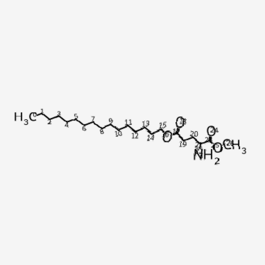 CCCCCCCCCCCCCCCCOC(=O)CC[C@H](N)C(=O)OC